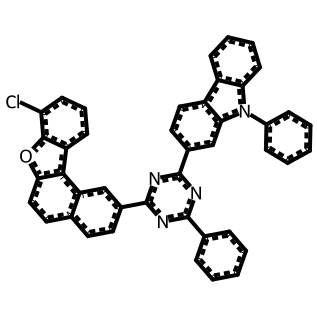 Clc1cccc2c1oc1ccc3ccc(-c4nc(-c5ccccc5)nc(-c5ccc6c7ccccc7n(-c7ccccc7)c6c5)n4)cc3c12